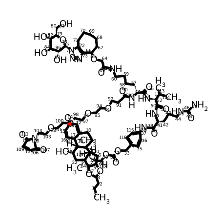 CCCC1O[C@@H]2C[C@H]3[C@@H]4CCC5=CC(=O)C=C[C@]5(C)[C@H]4[C@@H](O)C[C@]3(C)[C@]2(C(=O)COC(=O)OCc2ccc(NC(=O)[C@H](CCCNC(N)=O)NC(=O)[C@@H](NC(=O)[C@@H](CCCCNC(=O)COC3CCCCCc4c3nnn4[C@@H]3O[C@H](CO)[C@H](O)[C@H](O)[C@H]3O)NC(=O)CCOCCOCCOCCOCCN3C(=O)C=CC3=O)C(C)C)cc2)O1